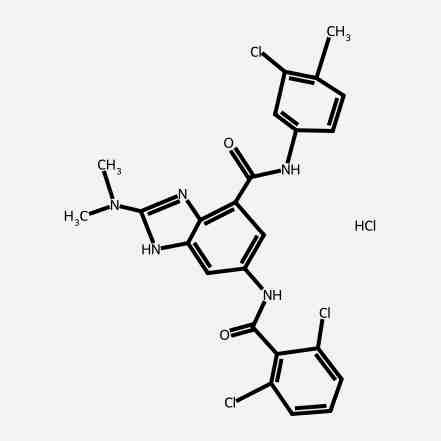 Cc1ccc(NC(=O)c2cc(NC(=O)c3c(Cl)cccc3Cl)cc3[nH]c(N(C)C)nc23)cc1Cl.Cl